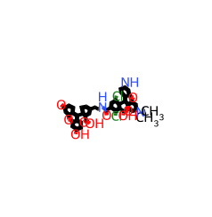 CN(C)c1ccc2c(-c3c(Cl)cc(C(=O)NCCc4ccc(-c5c6ccc(=O)cc-6oc6cc(O)ccc56)c(C(=O)O)c4)c(Cl)c3C(=O)O)c3ccc(=N)cc-3oc2c1